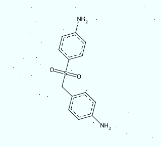 Nc1ccc(CS(=O)(=O)c2ccc(N)cc2)cc1